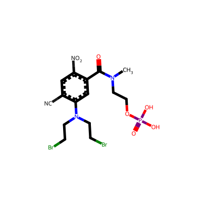 CN(CCOP(=O)(O)O)C(=O)c1cc(N(CCBr)CCBr)c(C#N)cc1[N+](=O)[O-]